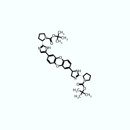 CC(C)(C)OC(=O)N1CCC[C@H]1C1=NCC(c2ccc3c(c2)Oc2ccc(-c4cnc([C@@H]5CCCN5C(=O)OC(C)(C)C)[nH]4)cc2O3)N1